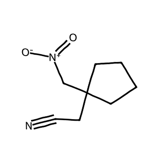 N#CCC1(C[N+](=O)[O-])CCCC1